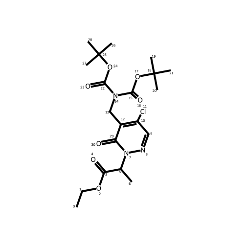 CCOC(=O)C(C)n1ncc(Cl)c(CN(C(=O)OC(C)(C)C)C(=O)OC(C)(C)C)c1=O